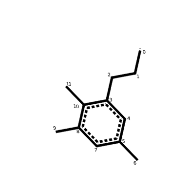 [CH2]CCc1cc(C)cc(C)c1C